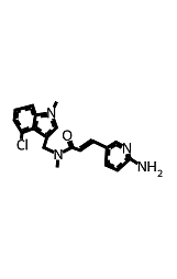 CN(Cc1cn(C)c2cccc(Cl)c12)C(=O)C=Cc1ccc(N)nc1